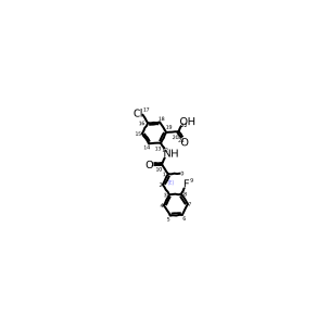 C/C(=C\c1ccccc1F)C(=O)Nc1ccc(Cl)cc1C(=O)O